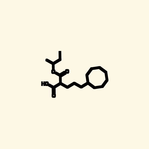 CCC(C)OC(=O)C(CCCC1CCCCCCC1)C(=O)O